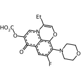 CCC1=COc2c(N3CCOCC3)c(F)cc3c(=O)c(OC(=O)O)cn1c23